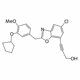 COc1ccc(Cc2nc3cc(Cl)cc(C#CCO)c3o2)cc1OC1CCCC1